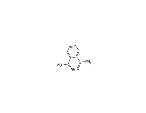 CC(=N)c1ccccc1C(N)=O